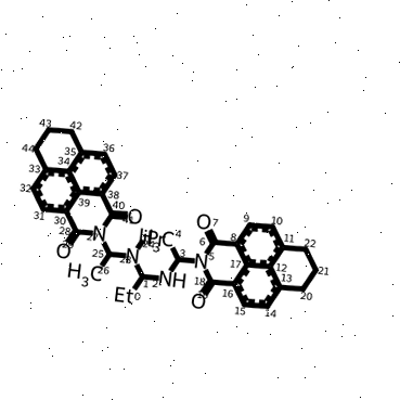 CCC(NC(C)N1C(=O)c2ccc3c4c(ccc(c24)C1=O)CCC3)N(C(C)C)C(C)N1C(=O)c2ccc3c4c(ccc(c24)C1=O)CCC3